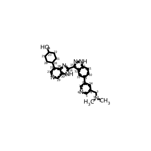 CN(C)Cc1cncc(-c2ccc3[nH]nc(-c4nc5c(C6CCC(O)CC6)cncc5[nH]4)c3c2)c1